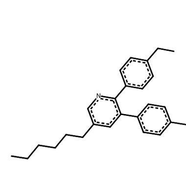 CCCCCCc1cnc(-c2ccc(CC)cc2)c(-c2ccc(C)cc2)c1